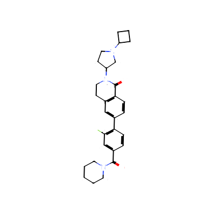 O=C(c1ccc(-c2ccc3c(c2)CCN(C2CCN(C4CCC4)C2)C3=O)c(F)c1)N1CCCCC1